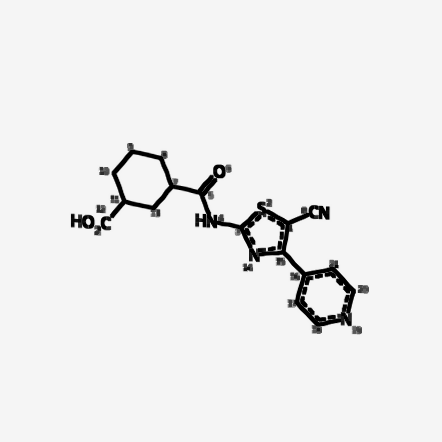 N#Cc1sc(NC(=O)C2CCCC(C(=O)O)C2)nc1-c1ccncc1